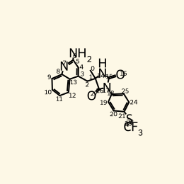 CC1(Cc2cc(N)nc3ccccc23)NC(=O)N(c2ccc(SC(F)(F)F)cc2)C1=O